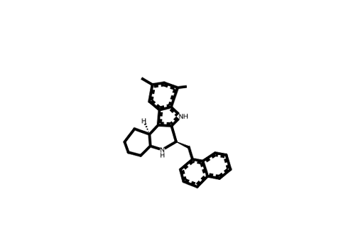 Cc1cc(C)c2[nH]c3c(c2c1)[C@@H]1CCCCC1N[C@@H]3Cc1cccc2ccccc12